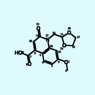 COc1ccc2c(C(=O)O)cc(=O)n(CC3OCCO3)c2c1